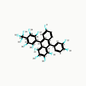 Fc1ccc2c(-c3ccc(F)c(F)c3)c3c(F)c(F)c(F)c(F)c3c(-c3c(F)c(F)c(C(F)(F)F)c(F)c3F)c2c1